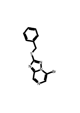 Brc1cncc2nc(SCc3ccccc3)nn12